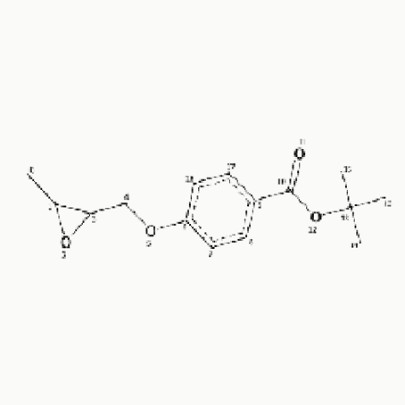 CC1OC1COc1ccc(C(=O)OC(C)(C)C)cc1